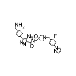 Cn1nc2c(=O)n(CC3(O)CCN(Cc4ccc(-n5cccn5)cc4F)CC3)cnc2c1-c1ccc(CN)cc1